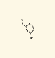 OCc1c[c]cc(Br)c1